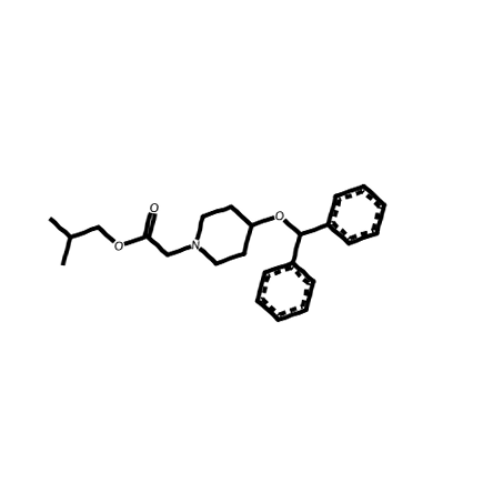 CC(C)COC(=O)CN1CCC(OC(c2ccccc2)c2ccccc2)CC1